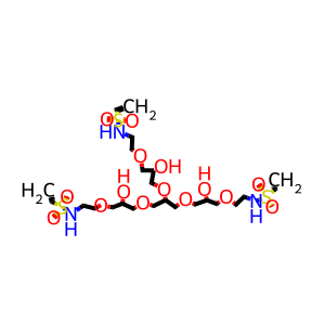 C=CS(=O)(=O)NCCOCC(O)COCC(COCC(O)COCCNS(=O)(=O)C=C)OCC(O)COCCNS(=O)(=O)C=C